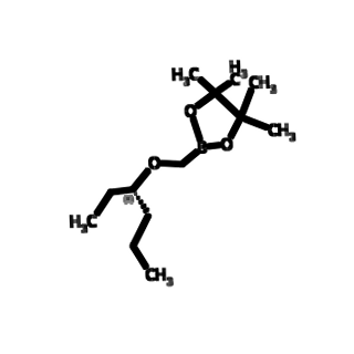 CCC[C@H](CC)OCB1OC(C)(C)C(C)(C)O1